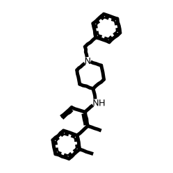 C=C/C(NC1CCN(Cc2ccccc2)CC1)=C(/C)c1ccccc1C